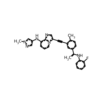 C=C(Nc1ccccc1F)c1ccc(C)c(C#Cc2cnc3c(Nc4cnn(C)c4)cccn23)c1